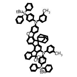 Cc1cccc(N(c2ccc([Si](c3ccccc3)(c3ccccc3)C(C)(C)C)cc2)c2ccc3c(c2)oc2ccc4c(c23)C2(c3cc(N(c5ccc([Si](c6ccccc6)(c6ccccc6)C(C)(C)C)cc5)c5cccc(C)c5)c5c(c3-4)-c3ccccc3C5(C)C)C3CC4CC(C3)CC2C4)c1